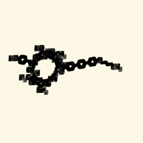 CCCCCOc1ccc(-c2ccc(-c3ccc(C(=O)N[C@H]4CCCNC(=O)[C@@H]5C[C@H](N)CN5C(=O)[C@H]([C@@H](C)O)NC(=O)[C@H](CCc5ccc(O)cc5)NC(=O)[C@@H]5C[C@@H](O)CN5C(=O)[C@H]([C@@H](C)O)NC4=O)cc3)cc2)cc1